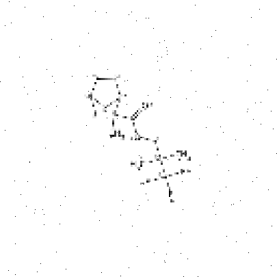 CC1(C(=O)OCC(C)(C)C(F)(F)F)CC2CCC1C2